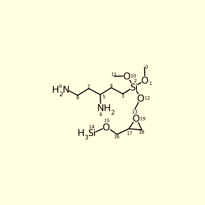 CO[Si](CCC(N)CCN)(OC)OC.[SiH3]OCC1CO1